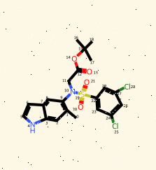 Cc1cc2[nH]ccc2cc1N(CC(=O)OC(C)(C)C)S(=O)(=O)c1cc(Cl)cc(Cl)c1